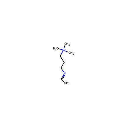 CCCC=NCCC[N+](C)(C)C